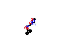 CC(C)n1ccc(NC(=O)CCCN(C)C(=O)OCC2c3ccccc3-c3ccccc32)nc1=O